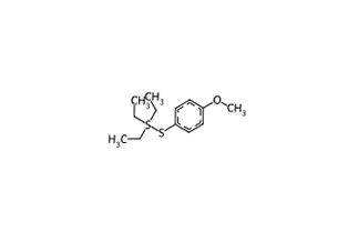 CCS(CC)(CC)Sc1ccc(OC)cc1